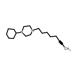 CC#CCCCCCN1CCN(C2CCCCC2)CC1